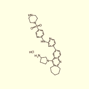 Cl.NC1CCN(c2c3c(nc4ccc(-c5ccnc(Nc6ccc(S(=O)(=O)N7CCNCC7)cc6)c5)cc24)CCCCC3)C1